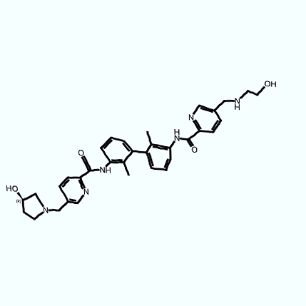 Cc1c(NC(=O)c2ccc(CNCCO)cn2)cccc1-c1cccc(NC(=O)c2ccc(CN3CC[C@@H](O)C3)cn2)c1C